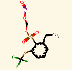 CCc1cccc(SC(F)(F)F)c1S(=O)(=O)OCOP=O